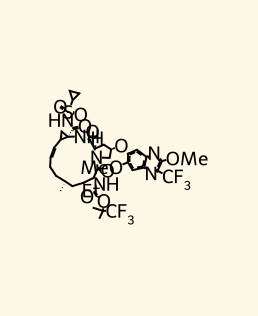 CC[C@@H]1C[C@H](C)CC/C=C\C2C[C@@]2(C(=O)NS(=O)(=O)C2CC2)NC(=O)[C@@H]2C[C@@H](Oc3cc4nc(OC)c(C(F)(F)F)nc4cc3OC)CN2C(=O)[C@H]1NC(=O)OC(C)(C)C(F)(F)F